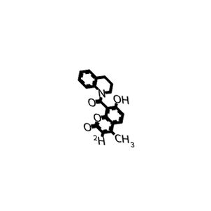 [2H]c1c(C)c2ccc(O)c(C(=O)N3CCCc4ccccc43)c2oc1=O